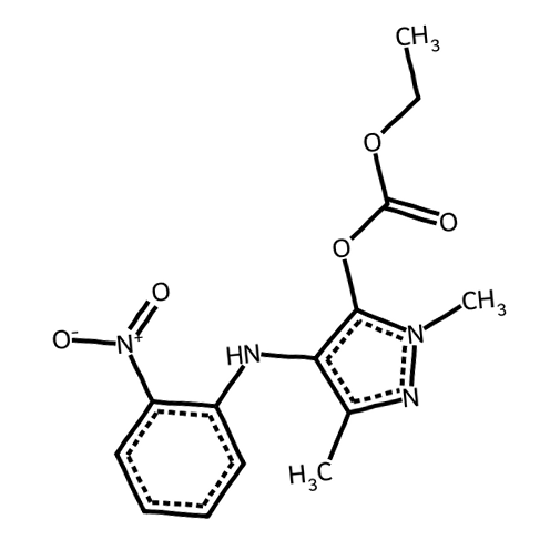 CCOC(=O)Oc1c(Nc2ccccc2[N+](=O)[O-])c(C)nn1C